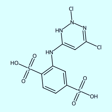 O=S(=O)(O)c1ccc(S(=O)(=O)O)c(NC2=CC(Cl)=NN(Cl)N2)c1